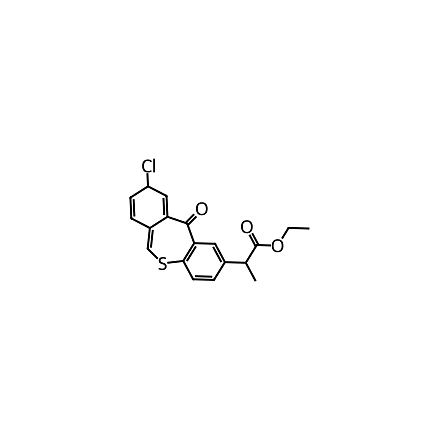 CCOC(=O)C(C)c1ccc2c(c1)C(=O)C1=CC(Cl)C=CC1=CS2